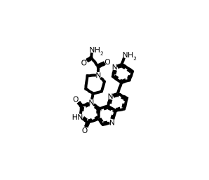 NC(=O)C(=O)N1CCC(n2c(=O)[nH]c(=O)c3cnc4ccc(-c5ccc(N)nc5)nc4c32)CC1